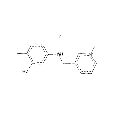 Cc1ccc(NCc2ccc[n+](C)c2)cc1O.[I-]